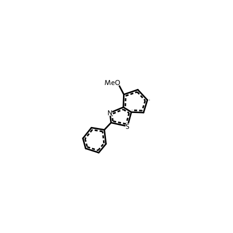 COc1c[c]cc2sc(-c3ccccc3)nc12